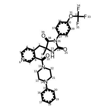 CC1(Cc2ccncc2C(=O)N2CCN(c3ccccc3)CC2)NC(=O)N(c2ccc(OC(F)(F)F)cc2)C1=O